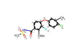 COc1c(C(=O)NS(C)(=O)=O)ccc(Oc2ccc(Cl)c(C)c2)c1F